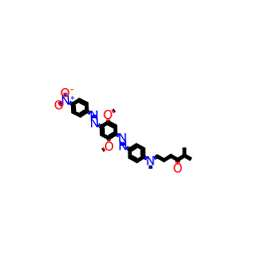 COc1cc(/N=N/c2ccc([N+](=O)[O-])cc2)c(OC)cc1/N=N/c1ccc(N(C)CCCC(=O)C(C)C)cc1